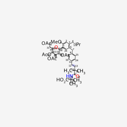 COc1cc(CC(C)C)c(Cc2ccc(/C=C/C(C)(C)C(=O)NC(C)(C)C(=O)O)cc2)cc1[C@@H]1O[C@H](COC(C)=O)[C@@H](OC(C)=O)[C@H](OC(C)=O)[C@H]1OC(C)=O